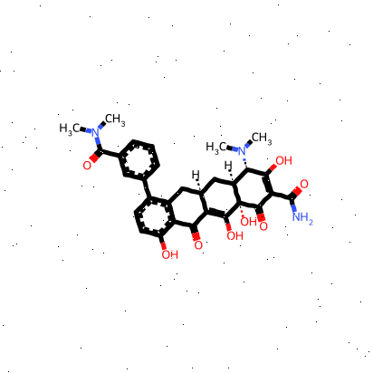 CN(C)C(=O)c1cccc(-c2ccc(O)c3c2C[C@H]2C[C@H]4[C@H](N(C)C)C(O)=C(C(N)=O)C(=O)[C@@]4(O)C(O)=C2C3=O)c1